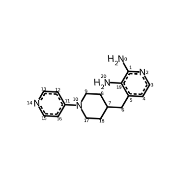 Nc1nccc(CC2CCN(c3ccncc3)CC2)c1N